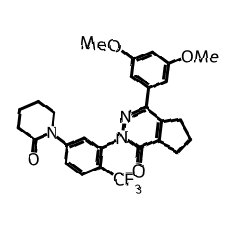 COc1cc(OC)cc(-c2nn(-c3cc(N4CCCCC4=O)ccc3C(F)(F)F)c(=O)c3c2CCC3)c1